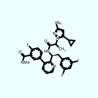 CNC(=O)c1cc(-c2cccnc2[C@H](Cc2cc(F)cc(F)c2)NC(=O)C(C)n2nc(C(C)(C)C)cc2C2CC2)ccc1F